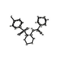 Cc1ccc(S(=O)(=O)N2CCCCC2OC(=O)c2ccccc2)cc1